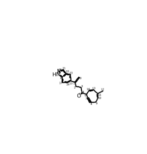 C=C(CCC(=O)C1C#CC/C=C(C)\C=C/1)c1ccc2[nH]ncc2c1